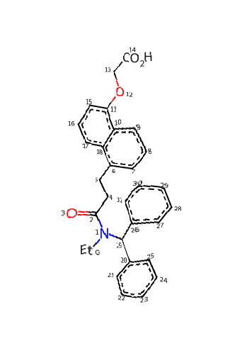 CCN(C(=O)CCc1cccc2c(OCC(=O)O)cccc12)C(c1ccccc1)c1ccccc1